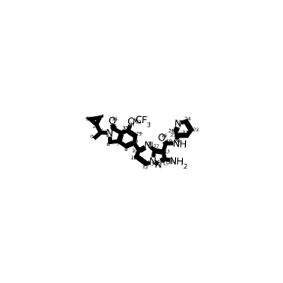 CC(C1CC1)N1Cc2cc(-c3ccn4nc(N)c(C(=O)Nc5cccnc5)c4n3)cc(OC(F)(F)F)c2C1=O